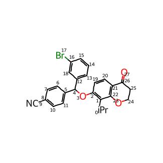 CC(C)c1c(OC(c2ccc(C#N)cc2)c2cccc(Br)c2)ccc2c1OCCC2=O